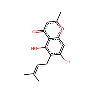 CC(C)=CCc1c(O)cc2oc(C)cc(=O)c2c1O